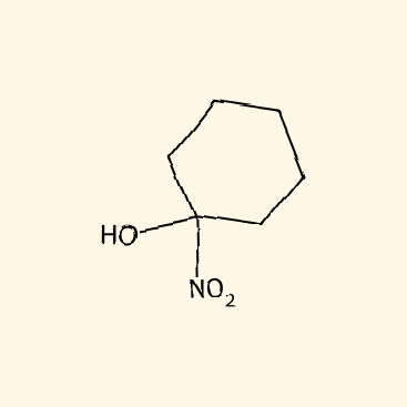 O=[N+]([O-])C1(O)CCCCC1